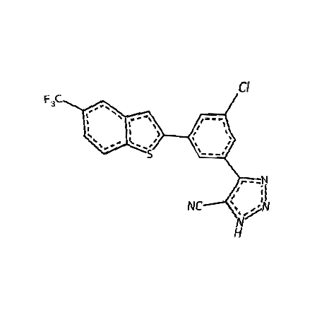 N#Cc1[nH]nnc1-c1cc(Cl)cc(-c2cc3cc(C(F)(F)F)ccc3s2)c1